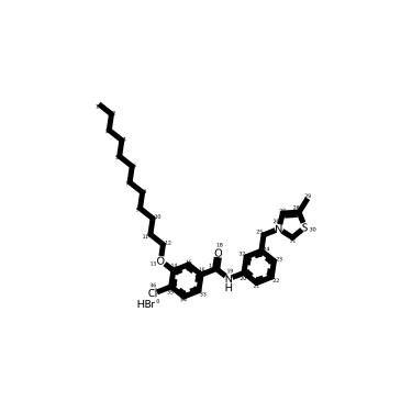 Br.CCCCCCCCCCCCOc1cc(C(=O)Nc2cccc(CN3C=C(C)SC3)c2)ccc1Cl